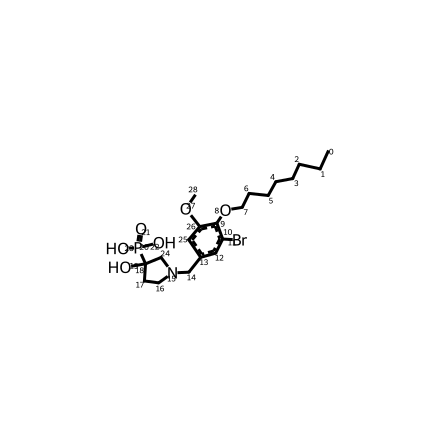 CCCCCCCCOc1c(Br)cc(CN2CCC(O)(P(=O)(O)O)C2)cc1OC